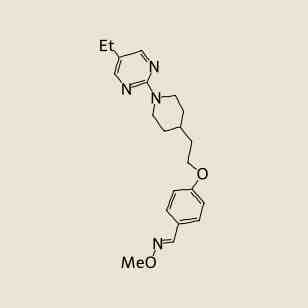 CCc1cnc(N2CCC(CCOc3ccc(C=NOC)cc3)CC2)nc1